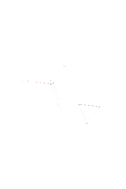 C1CC1.O=C(O)F